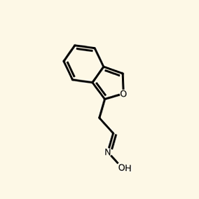 ON=CCc1occ2ccccc12